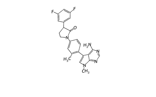 Cc1cc(N2CCC(c3cc(F)cc(F)c3)C2=O)ccc1-c1cn(C)c2ncnc(N)c12